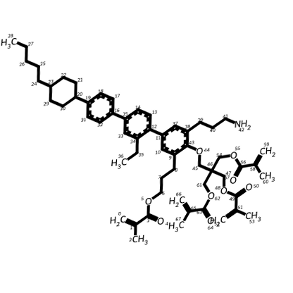 C=C(C)C(=O)OCCCc1cc(-c2ccc(-c3ccc(C4CCC(CCCCC)CC4)cc3)cc2CC)cc(CCCN)c1OCC(COC(=O)C(=C)C)(COC(=O)C(=C)C)COC(=O)C(=C)C